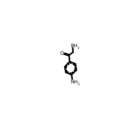 BCC(=O)c1ccc(N)cc1